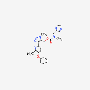 Cc1nc(-c2nnn(C)c2COC(=O)N(C)Cc2cnccn2)ccc1OC1CCCCC1